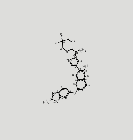 Cc1nc2ccc(Oc3ccc4nc(Cl)c(-c5cnn([C@H](C)C6CCC(F)(F)CC6)c5)nc4c3)cc2[nH]1